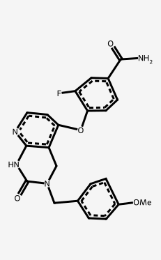 COc1ccc(CN2Cc3c(Oc4ccc(C(N)=O)cc4F)ccnc3NC2=O)cc1